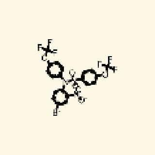 O=[N+]([O-])c1cc(Br)ccc1N(c1ccc(OC(F)(F)F)cc1)S(=O)(=O)c1ccc(OC(F)(F)F)cc1